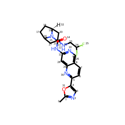 Cc1ncc(-c2ccc3cnc(NC(=O)N4C5CC[C@H]4C[C@@H](NCC(F)F)C5)cc3n2)o1